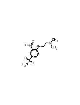 CN(C)CCNc1ccc(S(N)(=O)=O)cc1[N+](=O)[O-]